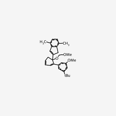 COCOC1(C2=Cc3c(C)ccc(C)c3C2)CC=CC=C1c1cc(OC)cc(C(C)(C)C)c1